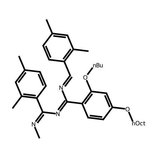 CCCCCCCCOc1ccc(C(=N/C(=N\C)c2ccc(C)cc2C)/N=C/c2ccc(C)cc2C)c(OCCCC)c1